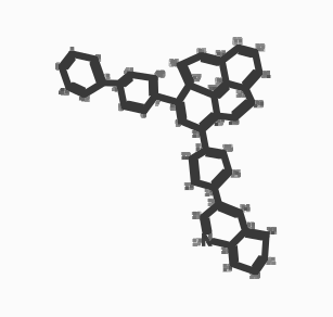 c1ccc(-c2ccc(-c3cc(-c4ccc(-c5cnc6ccccc6c5)cc4)c4ccc5cccc6ccc3c4c65)cc2)cc1